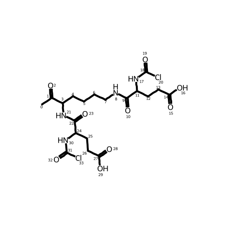 CC(=O)C(CCCCNC(=O)C(CCC(=O)O)NC(=O)Cl)NC(=O)C(CCC(=O)O)NC(=O)Cl